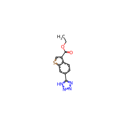 CCOC(=O)c1csc2cc(-c3nnn[nH]3)ccc12